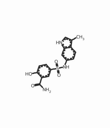 Cc1c[nH]c2cc(NS(=O)(=O)c3ccc(O)c(C(N)=O)c3)ccc12